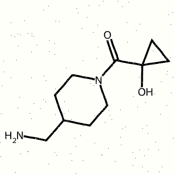 NCC1CCN(C(=O)C2(O)CC2)CC1